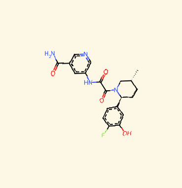 C[C@@H]1CC[C@@H](c2ccc(F)c(O)c2)N(C(=O)C(=O)Nc2cncc(C(N)=O)c2)C1